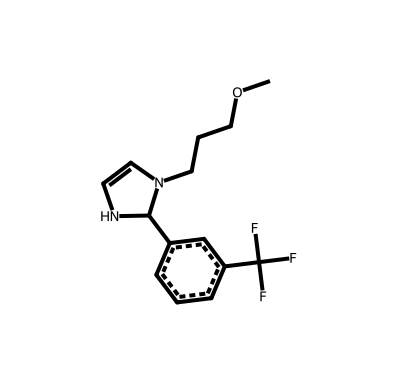 COCCCN1C=CNC1c1cccc(C(F)(F)F)c1